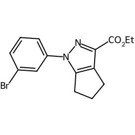 CCOC(=O)c1nn(-c2cccc(Br)c2)c2c1CCC2